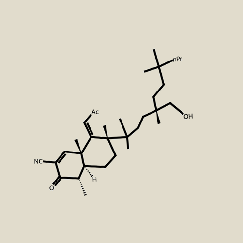 CCCC(C)(C)CC[C@](C)(CO)CCC(C)(C)[C@]1(C)CC[C@H]2[C@H](C)C(=O)C(C#N)=C[C@]2(C)/C1=C/C(C)=O